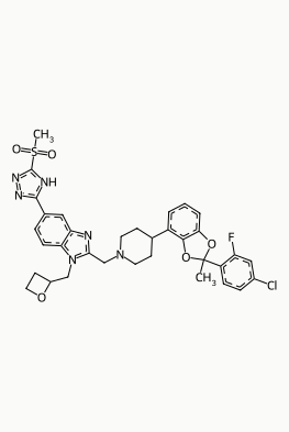 CC1(c2ccc(Cl)cc2F)Oc2cccc(C3CCN(Cc4nc5cc(-c6nnc(S(C)(=O)=O)[nH]6)ccc5n4CC4CCO4)CC3)c2O1